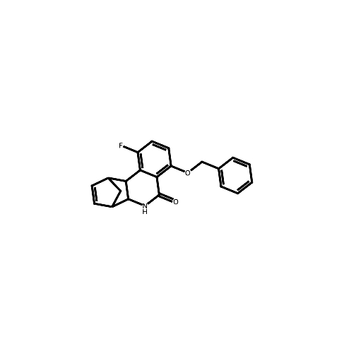 O=C1NC2C3C=CC(C3)C2c2c(F)ccc(OCc3ccccc3)c21